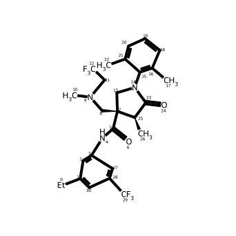 CCc1cc(NC(=O)[C@]2(CN(C)CC(F)(F)F)CN(c3c(C)cccc3C)C(=O)[C@H]2C)cc(C(F)(F)F)c1